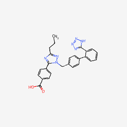 CCCc1nc(-c2ccc(C(=O)O)cc2)n(Cc2ccc(-c3ccccc3-c3nnn[nH]3)cc2)n1